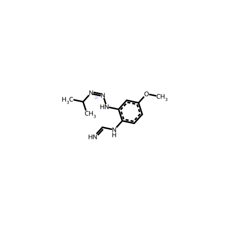 COc1ccc(NC=N)c(N/N=N\C(C)C)c1